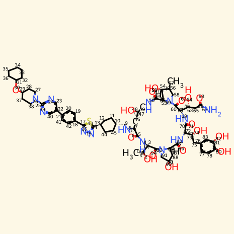 C[C@@H](O)[C@@H]1NC(=O)[C@@H](NC[C@H]2CC[C@H](c3nnc(-c4ccc(-c5cnc(N6CCC(OC7CCCCC7)CC6)nc5)cc4)s3)CC2)C[C@@H](O)CNC(=O)[C@@H]2[C@@H](O)[C@@H](C)CN2C(=O)[C@H]([C@H](O)CC(N)=O)NC(=O)[C@H]([C@H](O)Cc2ccc(O)c(O)c2)NC(=O)[C@@H]2C[C@@H](O)CN2C1=O